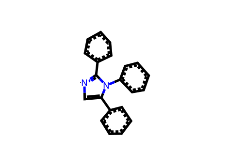 C1=C(c2ccccc2)N(c2ccccc2)C(c2ccccc2)=[N+]1